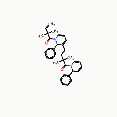 C=CC(C)(C)C(=O)N1C=CC=C(CCC(C)(C)C(=O)N2C=CC=CC2c2ccccc2)C1c1ccccc1